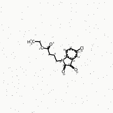 CCOC(=O)CCCN1C(=O)C(=O)c2cc(Cl)ccc21